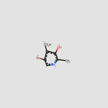 Cc1ncc(Br)c(C(=O)O)c1O